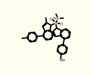 CC1=Cc2c(-c3ccc(C)cc3)cccc2[CH]1[Zr]([Cl])([Cl])([CH]1C=Cc2c(-c3ccc(C(C)(C)C)cc3)cccc21)[SiH](C)C